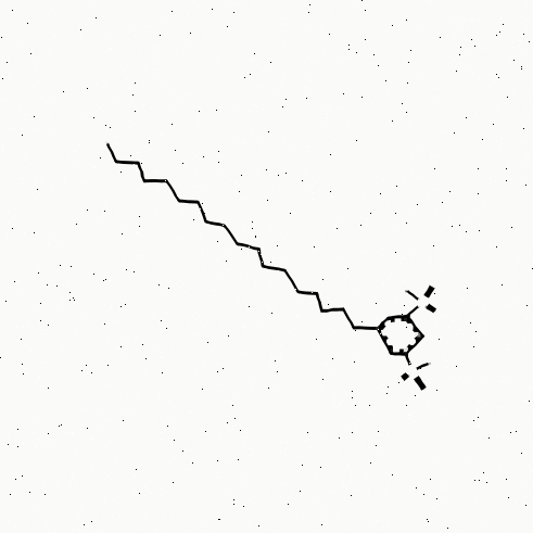 CCCCCCCCCCCCCCCCCCc1cc(S(=O)(=O)Cl)cc(S(=O)(=O)Cl)c1